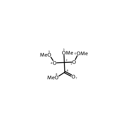 COOC(OC)(OOC)C(=O)OC